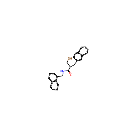 O=C(NCc1cccc2ccccc12)C(CS)Cc1ccc2ccccc2c1